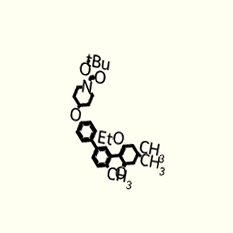 CCOC1=C(c2cc(-c3ccc(OC4CCN(C(=O)OC(C)(C)C)CC4)cc3)ccc2C)C(=O)CC(C)(C)C1